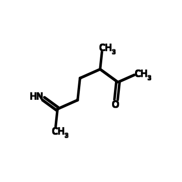 CC(=N)CCC(C)C(C)=O